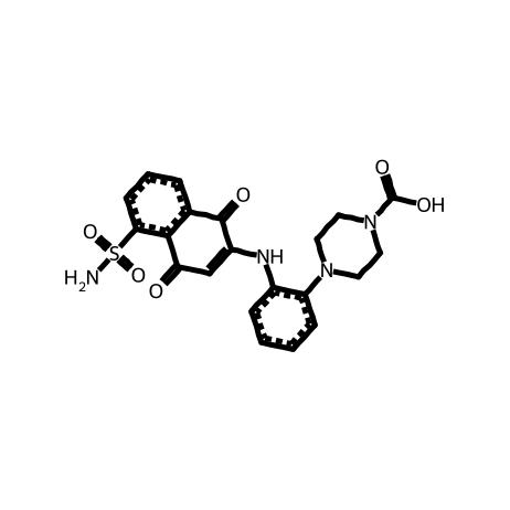 NS(=O)(=O)c1cccc2c1C(=O)C=C(Nc1ccccc1N1CCN(C(=O)O)CC1)C2=O